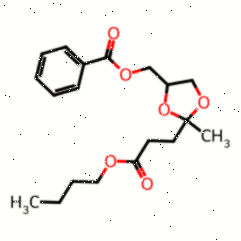 CCCCOC(=O)CCC1(C)OCC(COC(=O)c2ccccc2)O1